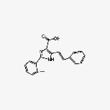 Cc1ccccc1-c1nc(C(=O)O)c(C=Cc2ccccc2)[nH]1